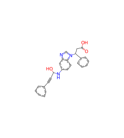 O=C(O)CC(c1ccccc1)n1cnc2cc(NC(O)C#Cc3ccccc3)ccc21